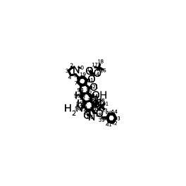 CN1CCCC1c1cc2c(c(OC(=O)OC(C)(C)C)c1)C(=O)C1=C(O)C3(O[Si](C)(C)C(C)(C)C)C(=O)c4c(OCc5ccccc5)noc4[C@@H](N)[C@@H]3C[C@@H]1C2